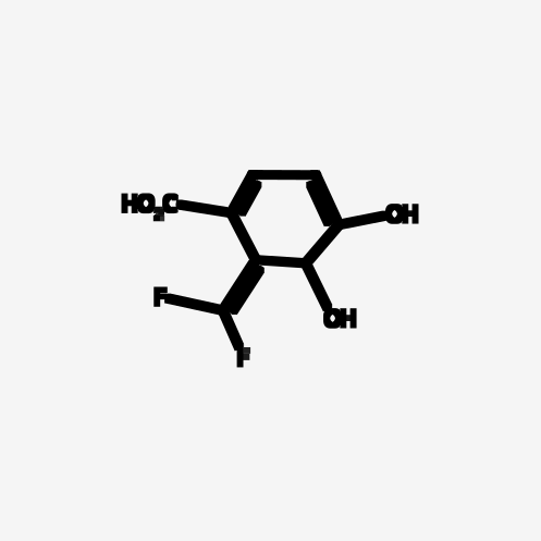 O=C(O)C1=CC=C(O)C(O)C1=C(F)F